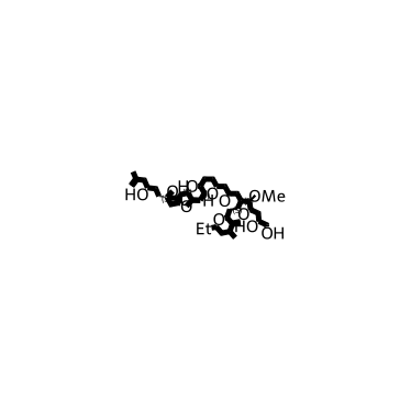 C=C(C)CC(O)CC[C@@]12CC3OC4C(O1)[C@H]1OC(CC(=O)CC5[C@@H](OC)C(CC(O)CO)O[C@H]5CC5OC(CC)CC(C)C5=C)CCC1O[C@H]4C3O2